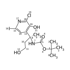 CC(C)(C)OC(=O)N[C@@](C)(CCO)c1cc(I)nc(Cl)c1O